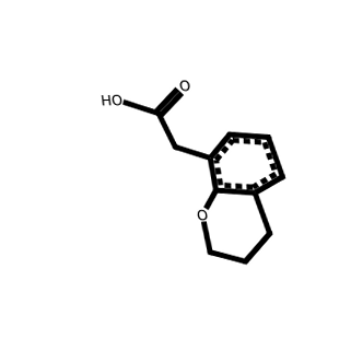 O=C(O)Cc1cccc2c1OCCC2